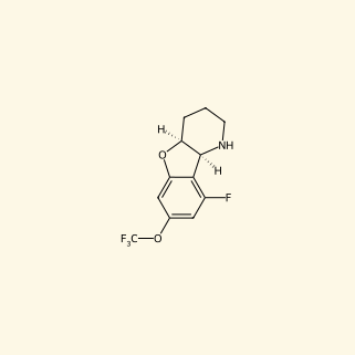 Fc1cc(OC(F)(F)F)cc2c1[C@@H]1NCCC[C@@H]1O2